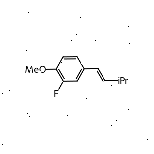 COc1ccc(/C=C/C(C)C)cc1F